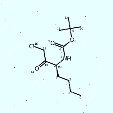 CCCC[C@H](NC(=O)OC(C)(C)C)C(=O)CCl